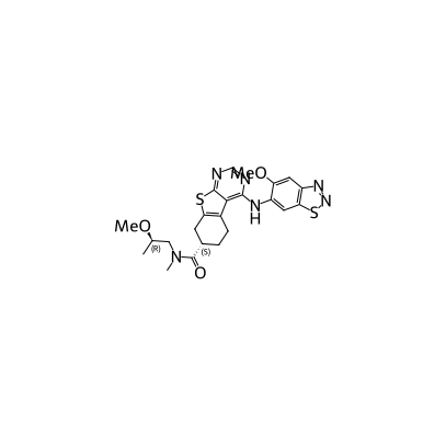 COc1cc2nnsc2cc1Nc1ncnc2sc3c(c12)CC[C@H](C(=O)N(C)C[C@@H](C)OC)C3